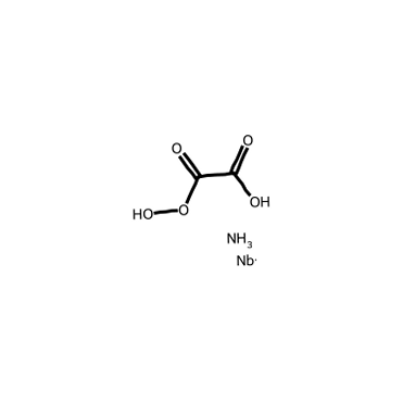 N.O=C(O)C(=O)OO.[Nb]